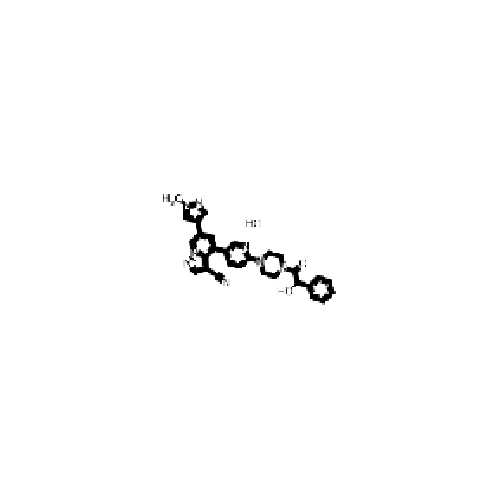 Cl.Cn1cc(-c2cc(-c3ccc(N4CCN(C(=O)[C@H](O)c5ccccc5)CC4)nc3)c3c(C#N)cnn3c2)cn1